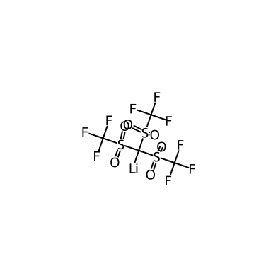 [Li][C](S(=O)(=O)C(F)(F)F)(S(=O)(=O)C(F)(F)F)S(=O)(=O)C(F)(F)F